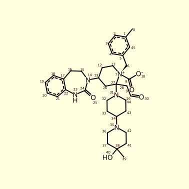 Cc1cccc(C[N@+]2(C(=O)[O-])CCC(N3CCc4ccccc4NC3=O)CC2(CC=O)N2CCC(N3CCC(C)(O)CC3)CC2)c1